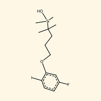 CC(C)(CCCOc1cc(F)ccc1I)[Si](C)(C)O